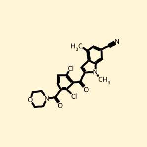 Cc1cc(C#N)cc2c1cc(C(=O)c1c(Cl)ccc(C(=O)N3CCOCC3)c1Cl)n2C